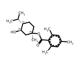 Cc1cc(C)c(C(=O)O[C@]2(C)CC[C@@H](C(C)C)[C@H](O)C2)c(C)c1